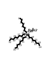 CCCCCCCC[N+](CCCCCCCC)(CCCCCCCC)CCCCCCCC.[Au].[Br-]